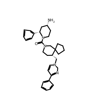 N[C@@H]1CCN(C(=O)N2CC[C@@H](CN3C=CC(c4ccccc4)=NC3)C3(CCCC3)C2)[C@H](c2ccccc2)C1